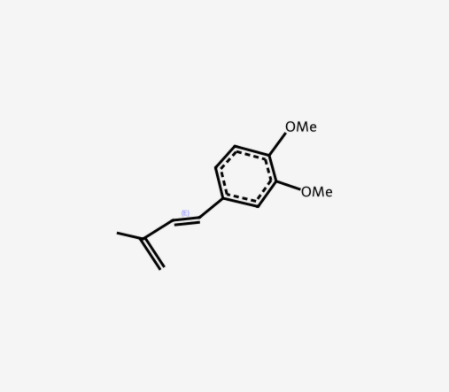 C=C(C)/C=C/c1ccc(OC)c(OC)c1